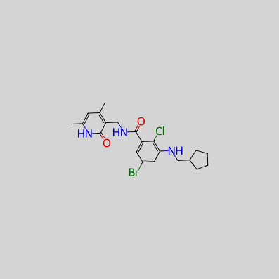 Cc1cc(C)c(CNC(=O)c2cc(Br)cc(NCC3CCCC3)c2Cl)c(=O)[nH]1